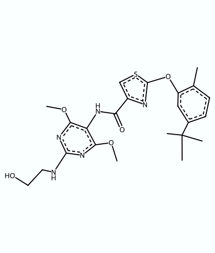 COc1nc(NCCO)nc(OC)c1NC(=O)c1csc(Oc2cc(C(C)(C)C)ccc2C)n1